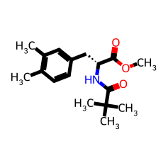 COC(=O)[C@@H](Cc1ccc(C)c(C)c1)NC(=O)C(C)(C)C